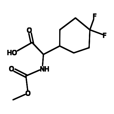 COC(=O)NC(C(=O)O)C1CCC(F)(F)CC1